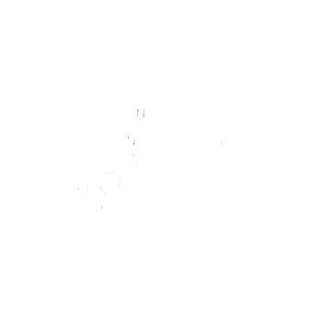 COCCCC1CCC(N(C)C(=O)Cc2ccc(Cl)c(Cl)c2)C(N2CCCC2)C1